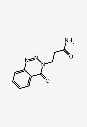 NC(=O)CCn1nnc2ccccc2c1=O